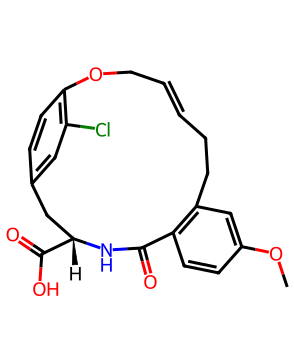 COc1ccc2c(c1)CC/C=C/COc1ccc(cc1Cl)C[C@@H](C(=O)O)NC2=O